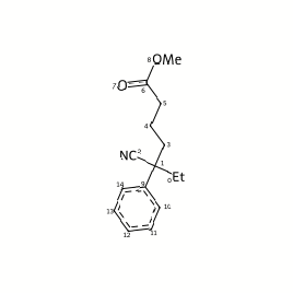 CCC(C#N)(CCCC(=O)OC)c1ccccc1